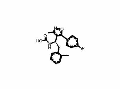 Cc1ccccc1C[C@@H](NC(=O)O)c1c(C)noc1-c1ccc(Br)cc1